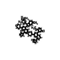 COc1ncc(Cl)cc1-c1cc(N2CCOCC2)nc2c(-c3ccn[nH]3)nccc12.Cc1ccc2c(c1)cc(-c1cc(N3CCOCC3)nc3c(-c4ccn[nH]4)nccc13)n2C(=O)OC(C)(C)C